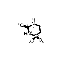 O=C1NCCS(=O)(=O)N1